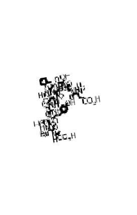 CC[C@H](C)[C@H](NC(=O)[C@H](CO)NC(=O)[C@H](Cc1ccc(O)cc1)NC(=O)[C@H](CC(=O)O)NC(=O)[C@H](CO)NC(=O)[C@@H](NC(=O)[C@H](Cc1ccccc1)NC(=O)[C@@H](NC(=O)CNC(=O)[C@@H](N)CCC(=O)O)[C@@H](C)O)[C@@H](C)CC)C(=O)N[C@@H](C)C(=O)O